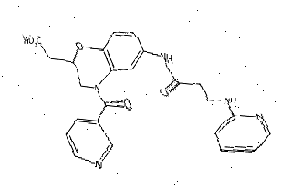 O=C(O)CC1CN(C(=O)c2cccnc2)c2cc(NC(=O)CCNc3ccccn3)ccc2O1